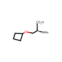 CN[C@@H](COC1CCC1)C(=O)O